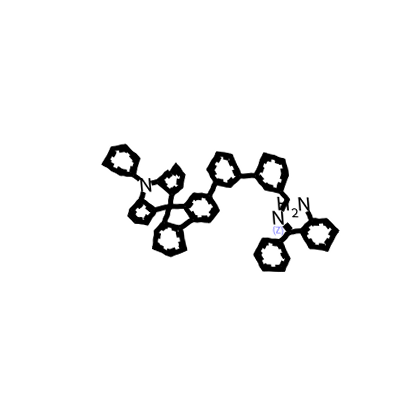 Nc1ccccc1/C(=N\Cc1cccc(-c2cccc(-c3ccc4c(c3)C3(c5ccccc5-4)c4ccccc4N(c4ccccc4)c4ccccc43)c2)c1)c1ccccc1